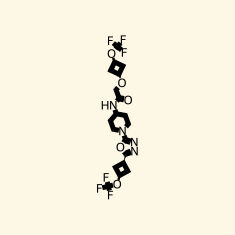 O=C(CO[C@H]1C[C@H](OC(F)(F)F)C1)NC1CCN(c2nnc([C@H]3C[C@H](OC(F)(F)F)C3)o2)CC1